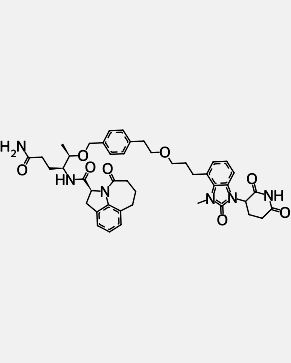 C[C@@H](OCc1ccc(CCOCCCc2cccc3c2n(C)c(=O)n3C2CCC(=O)NC2=O)cc1)[C@H](CCC(N)=O)NC(=O)[C@@H]1Cc2cccc3c2N1C(=O)CCC3